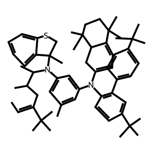 C/C=C(\CC(C)C(C)N(c1cc(C)cc(N(C2=CC=C3C(C2)C(C)(C)CCC3(C)C)c2ccc(C(C)(C)C)cc2-c2ccc(C(C)(C)C)cc2)c1)C1(C)CSc2ccccc21)C(C)(C)C